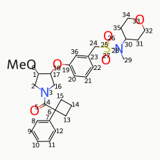 COC1CN(C(=O)C2(c3ccccc3)CCC2)CC1Oc1cccc(CS(=O)(=O)N(C)C2CCOCC2)c1